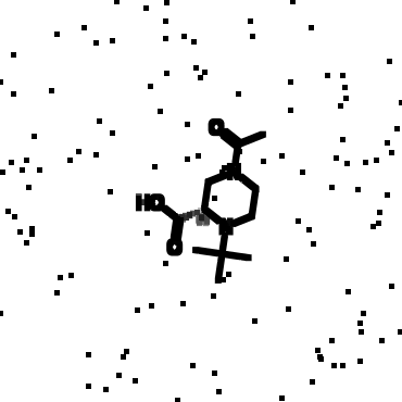 CC(=O)N1CCN(C(C)(C)C)[C@H](C(=O)O)C1